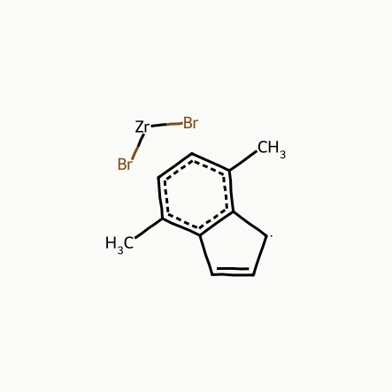 Cc1ccc(C)c2c1[CH]C=C2.[Br][Zr][Br]